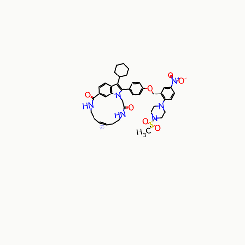 CS(=O)(=O)N1CCN(c2ccc([N+](=O)[O-])cc2COc2ccc(-c3c(C4CCCCC4)c4ccc5cc4n3CC(=O)NCC/C=C\CCNC5=O)cc2)CC1